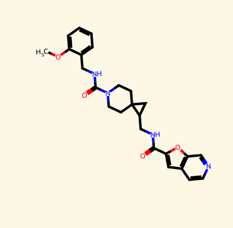 COc1ccccc1CNC(=O)N1CCC2(CC1)CC2CNC(=O)c1cc2ccncc2o1